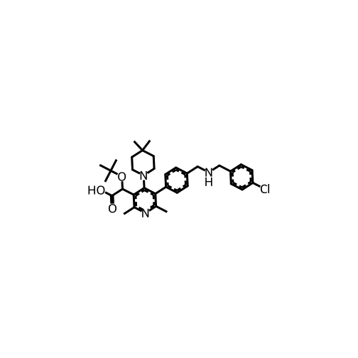 Cc1nc(C)c(C(OC(C)(C)C)C(=O)O)c(N2CCC(C)(C)CC2)c1-c1ccc(CNCc2ccc(Cl)cc2)cc1